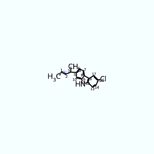 C/C=C/C(C)c1ccc2c(c1)[nH]c1ccc(Cl)cc12